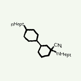 CCCCCCCC1CCC(C2CCCC(C#N)(CCCCCCC)C2)CC1